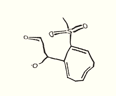 CS(=O)(=O)c1ccccc1C([O])C=O